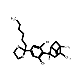 CCCCCCC1(c2cc(O)c([C@@H]3CC(C)C4(C)CC3C4=O)c(O)c2)SCCS1